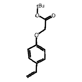 C=Cc1ccc(OCC(=O)OC(C)(C)C)cc1